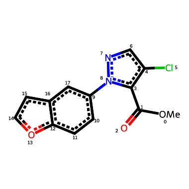 COC(=O)c1c(Cl)cnn1-c1ccc2occc2c1